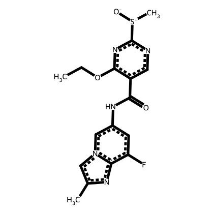 CCOc1nc([S+](C)[O-])ncc1C(=O)Nc1cc(F)c2nc(C)cn2c1